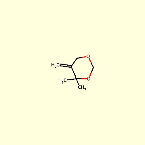 C=C1COCOC1(C)C